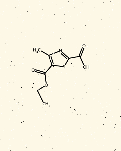 CCOC(=O)c1sc(C(=O)O)nc1C